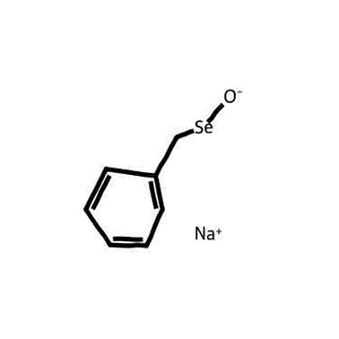 [Na+].[O-][Se]Cc1ccccc1